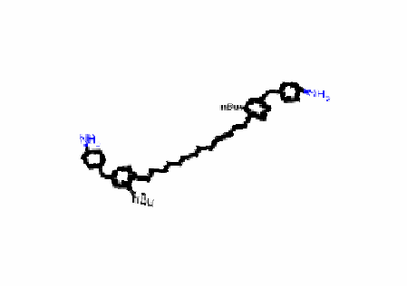 CCCCc1cc(Cc2ccc(N)cc2)ccc1CCCCCCCCCCCCCc1ccc(Cc2ccc(N)cc2)cc1CCCC